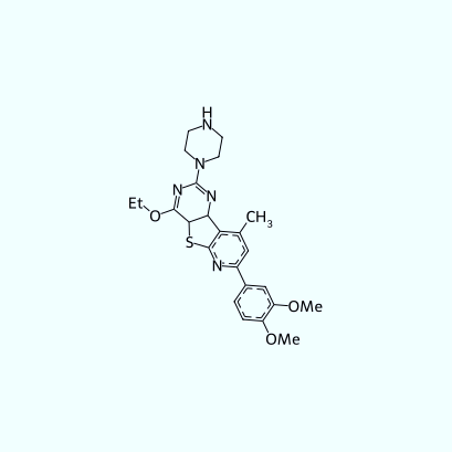 CCOC1=NC(N2CCNCC2)=NC2c3c(C)cc(-c4ccc(OC)c(OC)c4)nc3SC12